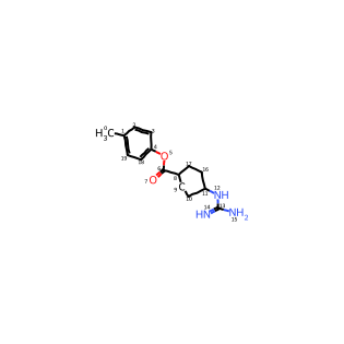 Cc1ccc(OC(=O)C2CCC(NC(=N)N)CC2)cc1